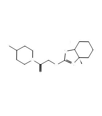 CC1CCN(C(=O)CSC2=N[C@H]3CCCC[C@@H]3N2)CC1